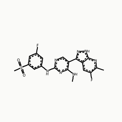 CNc1nc(Nc2cc(F)cc(S(C)(=O)=O)c2)ncc1-c1n[nH]c2nc(C)c(F)cc12